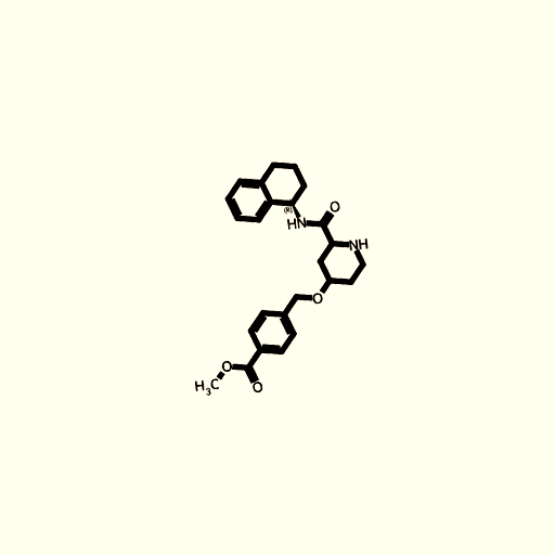 COC(=O)c1ccc(COC2CCNC(C(=O)N[C@@H]3CCCc4ccccc43)C2)cc1